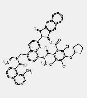 C=CN(Cc1ccc(N(C)C(=O)c2c(Cl)c(Cl)c(SC3CCCC3)c(Cl)c2C=O)c2nc(C3C(=O)c4cc5ccccc5cc4C3=O)ccc12)C(=O)c1cccc2cccc(C)c12